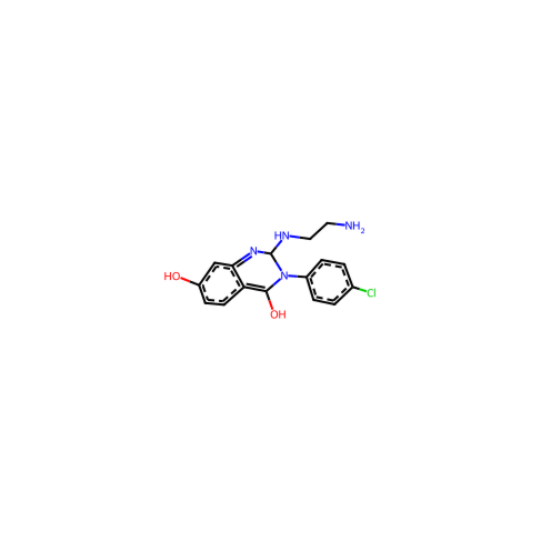 NCCNC1N=c2cc(O)ccc2=C(O)N1c1ccc(Cl)cc1